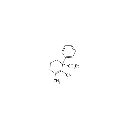 CCOC(=O)C1(c2ccccc2)CCCC(C)=C1C#N